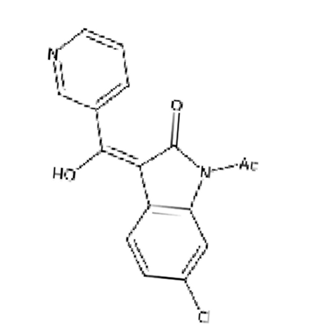 CC(=O)N1C(=O)C(=C(O)c2cccnc2)c2ccc(Cl)cc21